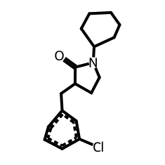 O=C1C(Cc2cccc(Cl)c2)CCN1C1CCCCC1